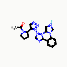 CC(=O)N1CCCC1c1cnnn1N1C=NC2c3ccccc3N3CN(F)C=C3N21